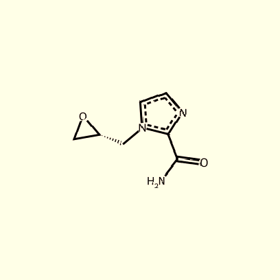 NC(=O)c1nccn1C[C@@H]1CO1